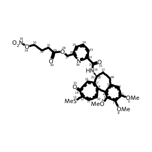 COc1cc2c(c(OC)c1OC)-c1ccc(SC)c(=O)cc1[C@@H](NC(=O)c1cccc(COC(=O)CCCO[N+](=O)[O-])n1)CC2